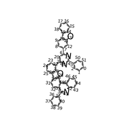 c1ccc(-c2nc(-c3ccc4c(c3)oc3ccccc34)cc(-c3cccc4c3oc3c4ccc4c(-c5ccccc5)nc5ccccc5c43)n2)cc1